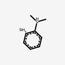 C[SiH](C)c1ccccc1.[SiH4]